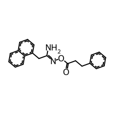 N/C(Cc1cccc2ccccc12)=N\OC(=O)CCc1ccccc1